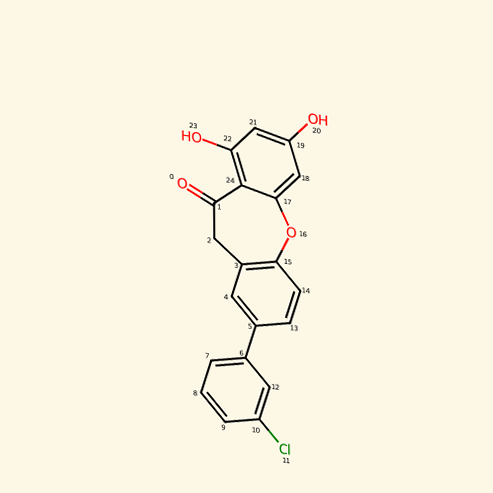 O=C1Cc2cc(-c3cccc(Cl)c3)ccc2Oc2cc(O)cc(O)c21